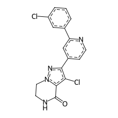 O=C1NCCn2nc(-c3ccnc(-c4cccc(Cl)c4)c3)c(Cl)c21